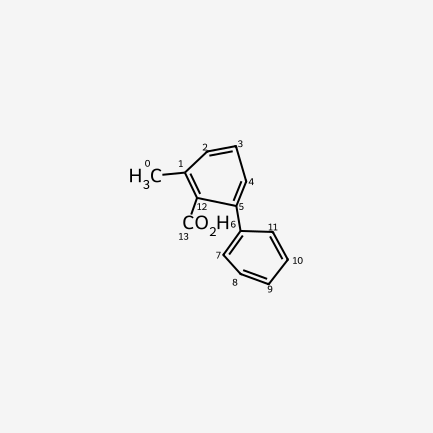 Cc1cccc(-c2ccccc2)c1C(=O)O